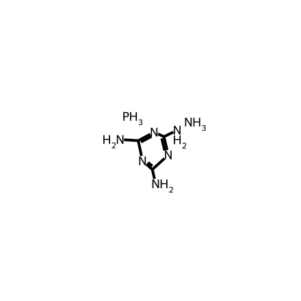 N.Nc1nc(N)nc(N)n1.P